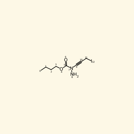 CCCCOC(=O)N(N)C#CCI